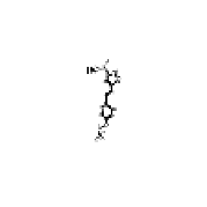 CC(O)c1cc(/C=C/c2ccc(OCC3CO3)cc2)on1